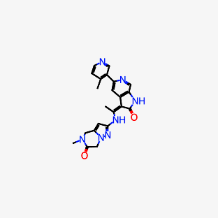 CC(Nc1cc2n(n1)CC(=O)N(C)C2)=C1C(=O)Nc2cnc(-c3cnccc3C)cc21